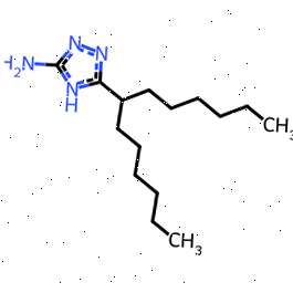 CCCCCCC(CCCCCC)c1nnc(N)[nH]1